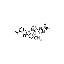 CCNc1ncnc(-c2cccnc2Oc2cc(C(=O)Nc3cccc(C(C)C)c3)ccc2C)n1